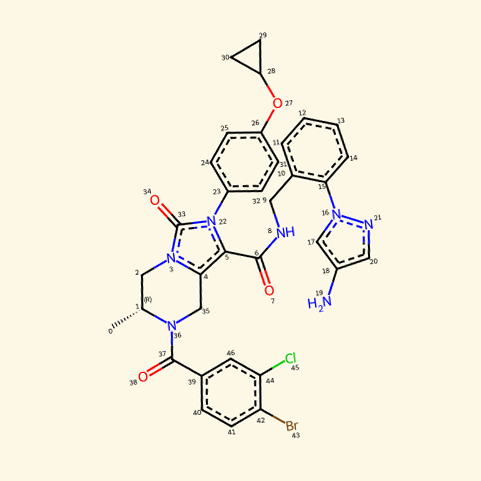 C[C@@H]1Cn2c(c(C(=O)NCc3ccccc3-n3cc(N)cn3)n(-c3ccc(OC4CC4)cc3)c2=O)CN1C(=O)c1ccc(Br)c(Cl)c1